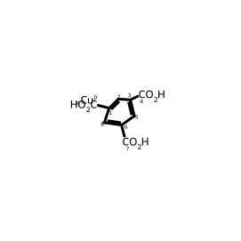 O=C(O)c1cc(C(=O)O)cc(C(=O)O)c1.[Cu]